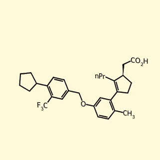 CCCC1=C(c2cc(OCc3ccc(C4CCCC4)c(C(F)(F)F)c3)ccc2C)CC[C@@H]1CC(=O)O